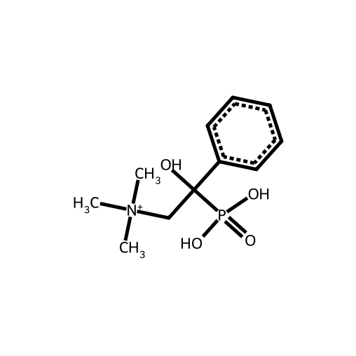 C[N+](C)(C)CC(O)(c1ccccc1)P(=O)(O)O